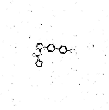 O=C(N=c1sccn1-c1ccc(-c2ccc(C(F)(F)F)cc2)cc1)N1CCCC1